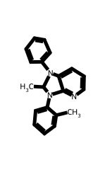 Cc1ccccc1N1c2ncccc2N(c2ccccc2)C1C